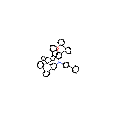 c1ccc(-c2ccc(N(c3ccc4c(c3)-c3ccccc3-c3ccccc3O4)c3ccc4c(c3)C3(c5ccccc5-c5ccccc5-4)c4ccccc4-c4c3ccc3c4-c4ccccc4C3)cc2)cc1